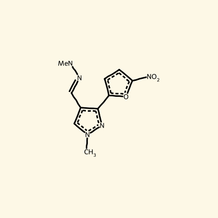 CNN=Cc1cn(C)nc1-c1ccc([N+](=O)[O-])o1